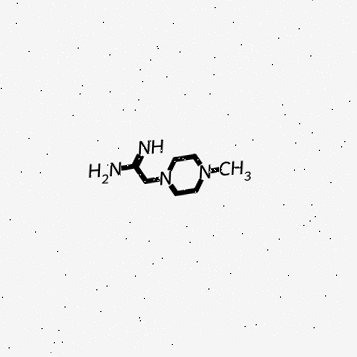 CN1CCN(CC(=N)N)CC1